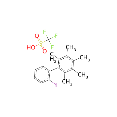 Cc1c(C)c(C)c(-c2ccccc2I)c(C)c1C.O=S(=O)(O)C(F)(F)F